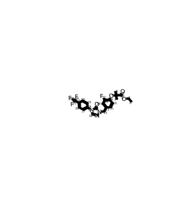 CCOC(=O)C(C)(C)Oc1ccc(Cn2ncn(-c3ccc(C(F)(F)F)cc3)c2=O)cc1F